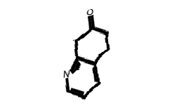 O=C1[CH]c2ncccc2CC1